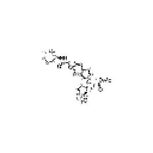 COC(=O)C(C)(C)C(c1ccc2c(c1)OCO2)c1ccc2ccc(OCC(=O)NC3CCCCCC3)cc2c1